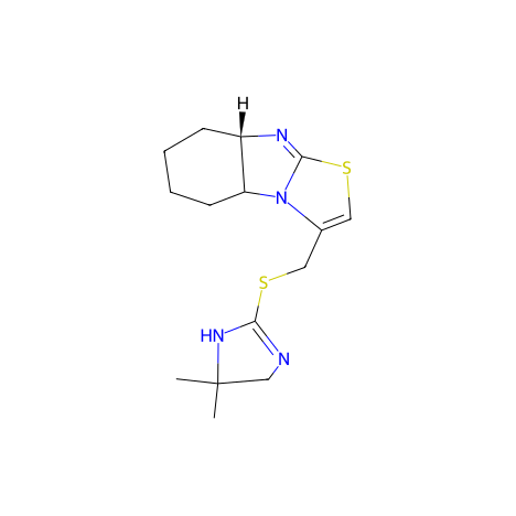 CC1(C)CN=C(SCC2=CSC3=N[C@H]4CCCCC4N23)N1